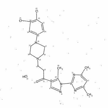 Cc1cc(C)nc(-n2ncc(C(=O)CCN3CCN(c4ccc(Cl)c(Cl)c4)CC3)c2C)n1.Cl